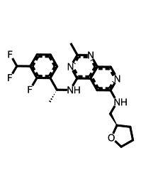 Cc1nc(N[C@H](C)c2cccc(C(F)F)c2F)c2cc(NC[C@H]3CCCO3)ncc2n1